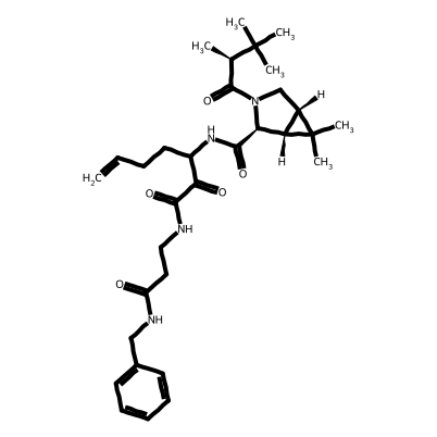 C=CCCC(NC(=O)[C@@H]1[C@@H]2[C@H](CN1C(=O)[C@@H](C)C(C)(C)C)C2(C)C)C(=O)C(=O)NCCC(=O)NCc1ccccc1